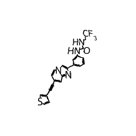 O=C(NCC(F)(F)F)Nc1cccc(-c2cn3ccc(C#Cc4ccsc4)cc3n2)c1